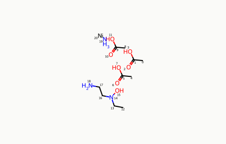 CC(=O)O.CC(=O)O.CC(=O)O.CCN(O)CCN.N.[Ni]